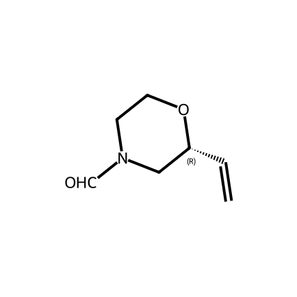 C=C[C@@H]1CN(C=O)CCO1